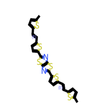 Cc1ccc(/C=C/c2ccc(-c3nc4sc(-c5ccc(/C=C/c6ccc(C)s6)s5)nc4s3)s2)s1